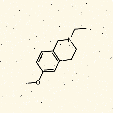 CCN1CCc2cc(OC)ccc2C1